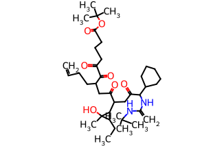 C=CCCC(CC(=O)C(CC(=O)C(NC(=C)NC(C)(C)C)C1CCCCC1)C1C(CC)C1(C)O)C(=O)C(=O)CCCC(=O)OC(C)(C)C